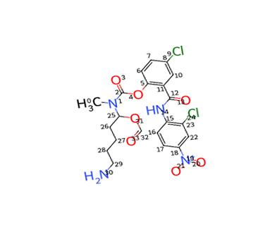 CN(C(=O)Oc1ccc(Cl)cc1C(=O)Nc1ccc([N+](=O)[O-])cc1Cl)C(CCCCN)OC=O